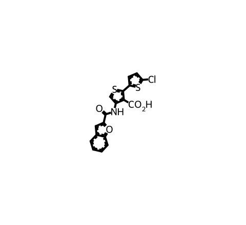 O=C(Nc1csc(-c2ccc(Cl)s2)c1C(=O)O)c1cc2ccccc2o1